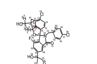 [2H]C([2H])(O)C1(C([2H])([2H])O[C@]2(c3ccc(Cl)cc3)c3c(F)cc(C(C)(O)COC)cc3C(=O)N2Cc2ccc(Cl)cn2)CC1